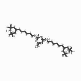 CC1(C)CC(CCCCCCNc2nc(Cl)nc(NCCCCCCC3CC(C)(C)NC(C)(C)C3)n2)CC(C)(C)N1